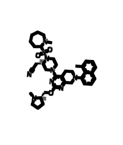 Cc1cccc2cccc(N3CCc4c(nc(OC[C@@H]5CCCN5C)nc4N4CCN(S(=O)(=O)C5CCCCCN5C)[C@@H](CC#N)C4)C3)c12